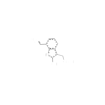 C=Cc1cccc2c(CC(=O)O)c(C)[nH]c12